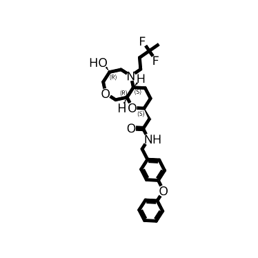 CC(F)(F)CCN1C[C@@H](O)COC[C@@H]2O[C@H](CC(=O)NCc3ccc(Oc4ccccc4)cc3)CC[C@@H]21